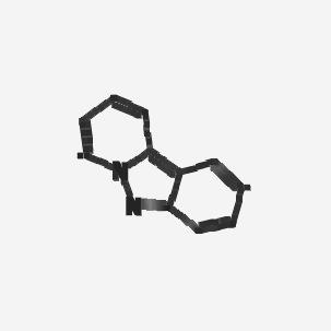 [c]1ccc2nn3[c]cccc3c2c1